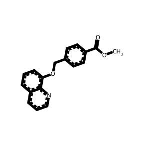 COC(=O)c1ccc(COc2cccc3cccnc23)cc1